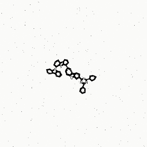 c1ccc(-c2nc(-c3ccccc3)nc(-c3ccc4c(c3)oc3ccc(-c5cccc6c5sc5c(-n7c8ccccc8c8ccccc87)cccc56)cc34)n2)cc1